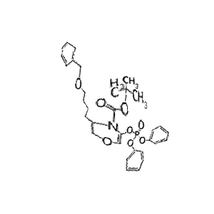 CC(C)(C)OC(=O)N1C(OP(=O)(Oc2ccccc2)Oc2ccccc2)=COCC1CCCCOCc1ccccc1